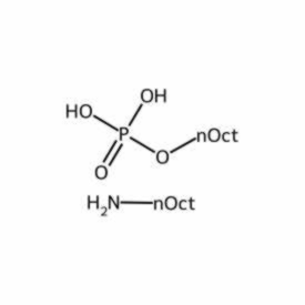 CCCCCCCCN.CCCCCCCCOP(=O)(O)O